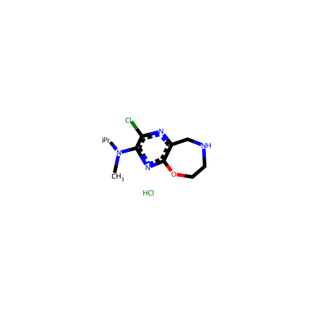 CC(C)N(C)c1nc2c(nc1Cl)CNCCO2.Cl